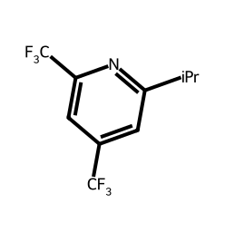 CC(C)c1cc(C(F)(F)F)cc(C(F)(F)F)n1